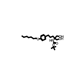 CCCCCCCOc1ccc(CCCC(CO)(CO)NC(=O)OC(C)(C)C)cc1